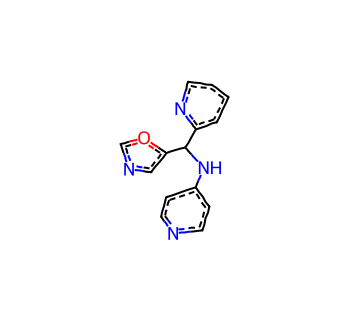 c1ccc(C(Nc2ccncc2)c2cnco2)nc1